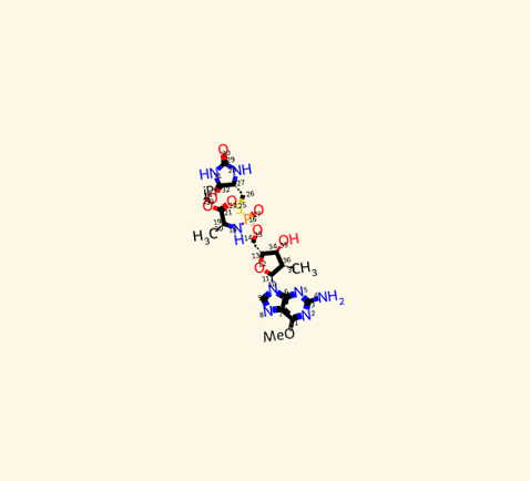 COc1nc(N)nc2c1ncn2[C@@H]1O[C@H](CO[P@@](=O)(N[C@H](C)C(=O)OC(C)C)SC[C@H]2NC(=O)NC2=O)[C@@H](O)[C@@H]1C